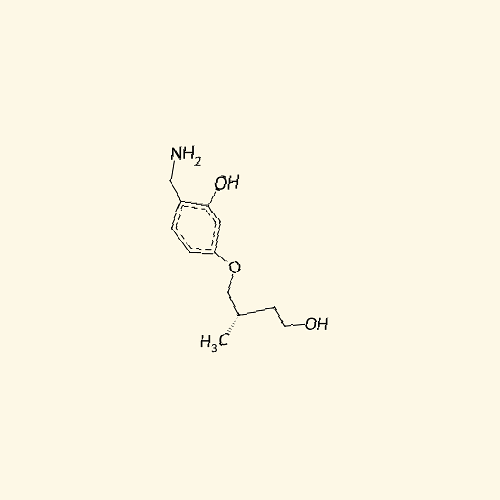 C[C@@H](CCO)COc1ccc(CN)c(O)c1